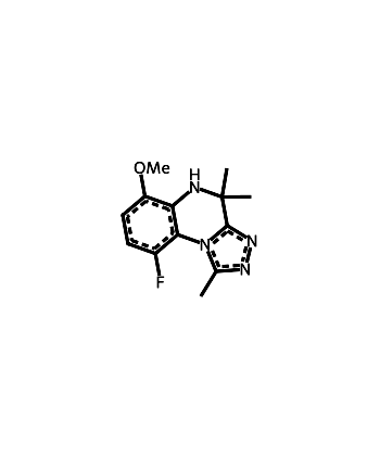 COc1ccc(F)c2c1NC(C)(C)c1nnc(C)n1-2